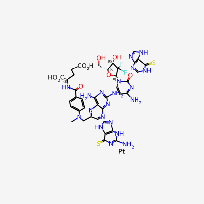 CN(Cc1cnc2nc(N)nc(N)c2n1)c1ccc(C(=O)N[C@@H](CCC(=O)O)C(=O)O)cc1.Nc1ccn([C@@H]2O[C@H](CO)[C@@H](O)C2(F)F)c(=O)n1.Nc1nc(=S)c2[nH]cnc2[nH]1.S=c1[nH]cnc2nc[nH]c12.[Pt]